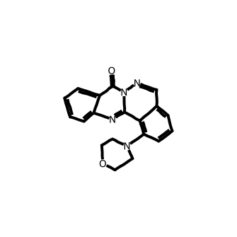 O=c1c2ccccc2nc2c3c(N4CCOCC4)cccc3cnn12